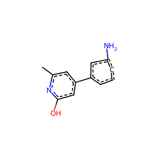 Cc1cc(-c2cccc(N)c2)cc(O)n1